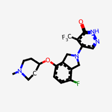 CN1CCC(Oc2ccc(F)c3c2CN(c2cn[nH]c(=O)c2C(F)(F)F)C3)CC1